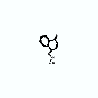 O=CNN=C1C=CC(=O)c2ccccc21